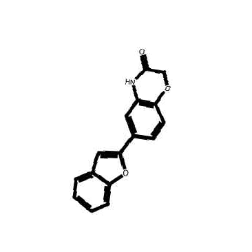 O=C1COc2ccc(-c3cc4ccccc4o3)cc2N1